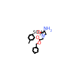 Cc1ccc(S(=O)(=O)O)cc1.NC1CN(CC(=O)OCc2ccccc2)C1=O